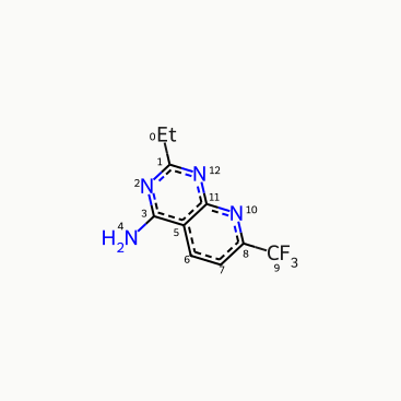 CCc1nc(N)c2ccc(C(F)(F)F)nc2n1